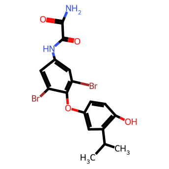 CC(C)c1cc(Oc2c(Br)cc(NC(=O)C(N)=O)cc2Br)ccc1O